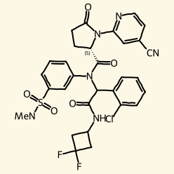 CNS(=O)(=O)c1cccc(N(C(=O)[C@@H]2CCC(=O)N2c2cc(C#N)ccn2)C(C(=O)NC2CC(F)(F)C2)c2ccccc2Cl)c1